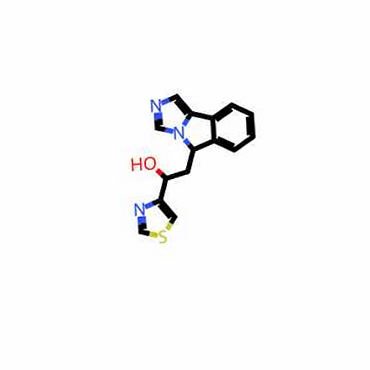 OC(CC1c2ccccc2-c2cncn21)c1cscn1